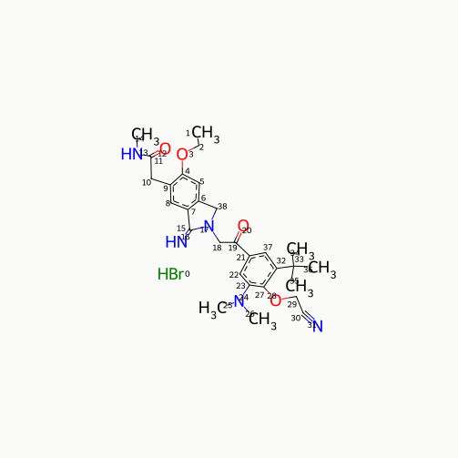 Br.CCOc1cc2c(cc1CC(=O)NC)C(=N)N(CC(=O)c1cc(N(C)C)c(OCC#N)c(C(C)(C)C)c1)C2